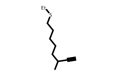 C#CC(C)CCCCCSC[CH2]